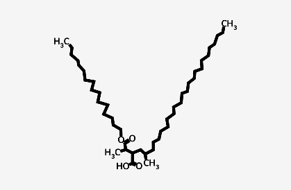 CCCCCCCCCCCCCCCCCCCCCCC(C)CC(C(=O)O)C(C)C(=O)OCCCCCCCCCCCCCCCC